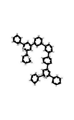 c1ccc(-c2cc(-c3ccc(-c4cccc(-c5cccc(-c6cc(-c7ccccc7)nc(-c7ccccc7)c6)c5)c4)cc3)cc(-c3ccccc3)n2)cc1